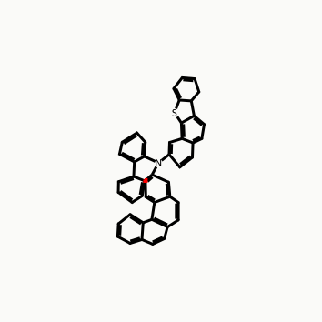 C1=CCC2C(=C1)Sc1c2ccc2ccc(N(c3ccc4c(ccc5ccc6ccccc6c54)c3)c3ccccc3-c3ccccc3)cc12